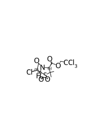 CC1(C)[C@H](C(=O)OCC(Cl)(Cl)Cl)N2C(=O)[C@H](Cl)[C@H]2S1(=O)=O